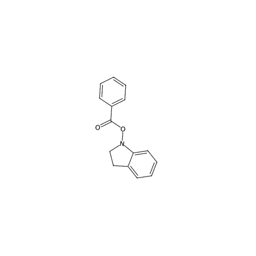 O=C(ON1CCc2ccccc21)c1ccccc1